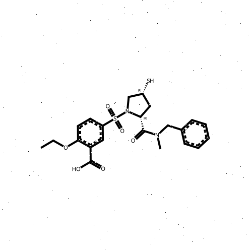 CCOc1ccc(S(=O)(=O)N2C[C@H](S)C[C@@H]2C(=O)N(C)Cc2ccccc2)cc1C(=O)O